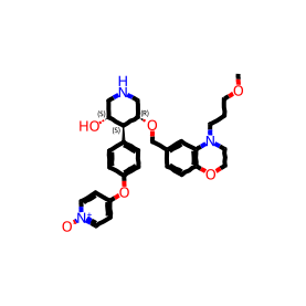 COCCCN1CCOc2ccc(CO[C@H]3CNC[C@@H](O)[C@@H]3c3ccc(Oc4cc[n+]([O-])cc4)cc3)cc21